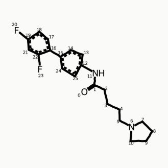 O=C(CCCCN1CCCC1)Nc1ccc(-c2ccc(F)cc2F)cc1